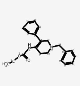 CCOC(=O)NC1=C(c2ccccc2)CN(Cc2ccccc2)CC1